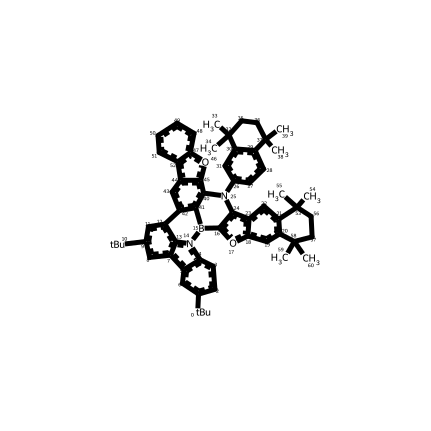 CC(C)(C)c1ccc2c(c1)c1cc(C(C)(C)C)cc3c1n2B1c2oc4cc5c(cc4c2N(c2ccc4c(c2)C(C)(C)CCC4(C)C)c2c1c-3cc1c2oc2ccccc21)C(C)(C)CCC5(C)C